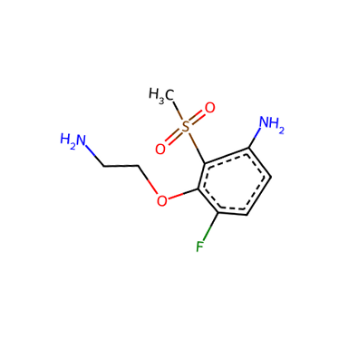 CS(=O)(=O)c1c(N)ccc(F)c1OCCN